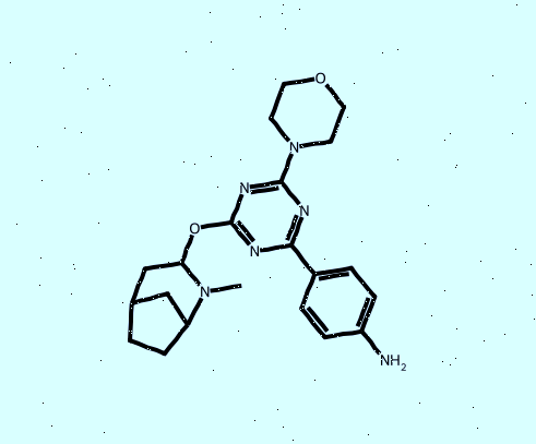 CN1C2CCC(C2)CC1Oc1nc(-c2ccc(N)cc2)nc(N2CCOCC2)n1